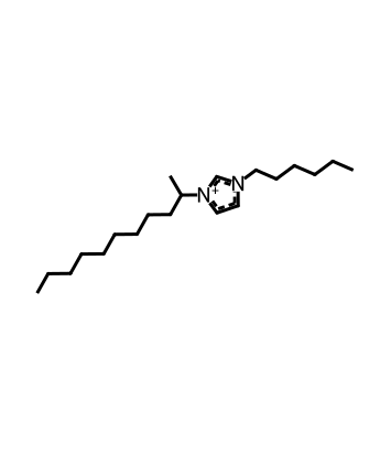 CCCCCCCCCC(C)[n+]1ccn(CCCCCC)c1